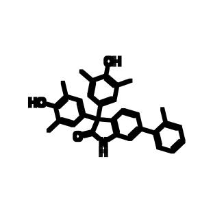 Cc1ccccc1-c1ccc2c(c1)NC(=O)C2(c1cc(C)c(O)c(C)c1)c1cc(C)c(O)c(C)c1